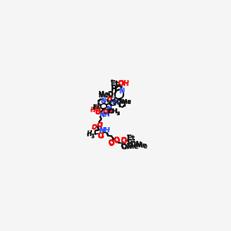 CCC(COC)OC(COC(=O)CCCC(=O)N[C@H](C)C(=O)OCCCNC(=O)[C@]1(O)C2N(C)c3cc(OC)c([C@@]4(C(=O)OC)C[C@@H]5C[N@](CCc6c4[nH]c4ccccc64)CC(O)(CC)C5)cc3[C@@]23CCN2CC=C[C@](CC)(C23)[C@H]1O)OC